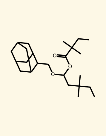 CCC(C)(C)CC(OCC1C2CC3CC(C2)CC1C3)OC(=O)C(C)(C)CC